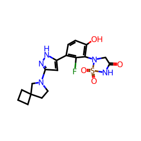 O=C1CN(c2c(O)ccc(-c3cc(N4CCC5(CCC5)C4)n[nH]3)c2F)S(=O)(=O)N1